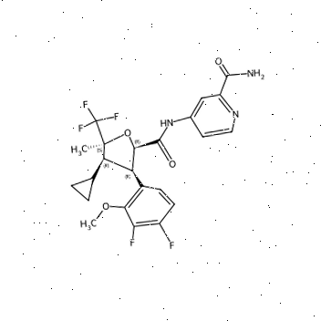 COc1c([C@H]2[C@@H](C3CC3)[C@@](C)(C(F)(F)F)O[C@H]2C(=O)Nc2ccnc(C(N)=O)c2)ccc(F)c1F